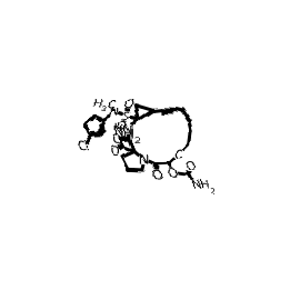 CN(c1ccc(Cl)cc1)S(=O)(=O)C12CC1C=CCCCCCC(OC(N)=O)C(=O)N1CCCC1(C(N)=O)C(=O)N2